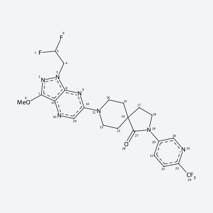 COc1nn(CC(F)F)c2nc(N3CCC4(CC3)CCN(c3ccc(C(F)(F)F)nc3)C4=O)cnc12